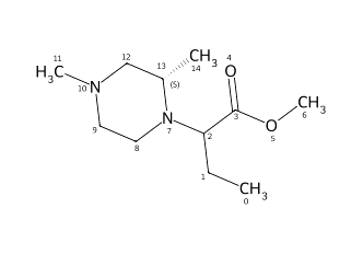 CCC(C(=O)OC)N1CCN(C)C[C@@H]1C